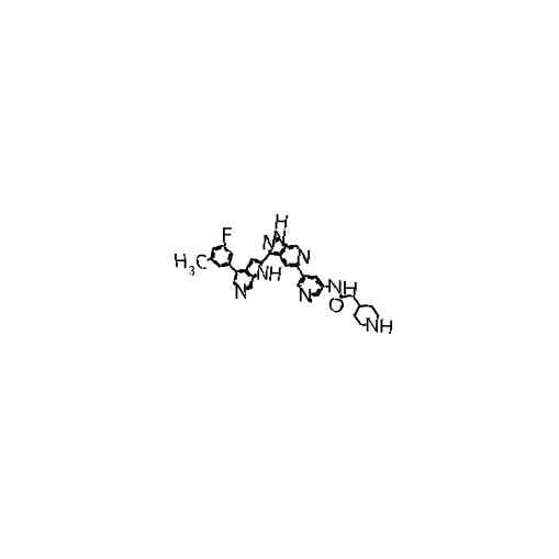 Cc1cc(F)cc(-c2cncc3[nH]c(-c4n[nH]c5cnc(-c6cncc(NC(=O)CC7CCNCC7)c6)cc45)cc23)c1